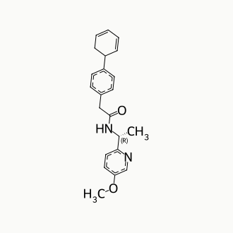 COc1ccc([C@@H](C)NC(=O)Cc2ccc(C3C=CC=CC3)cc2)nc1